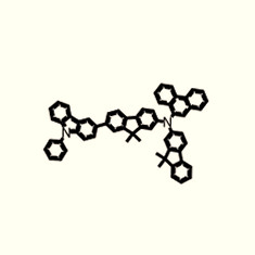 CC1(C)c2ccccc2-c2ccc(N(c3ccc4c(c3)C(C)(C)c3cc(-c5ccc6c(c5)c5ccccc5n6-c5ccccc5)ccc3-4)c3cc4ccccc4c4ccccc34)cc21